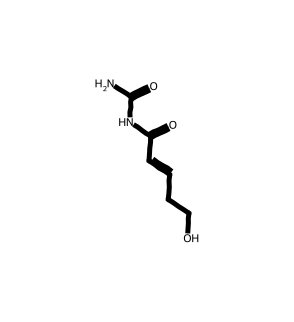 NC(=O)NC(=O)C=CCCO